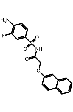 Nc1ccc(S(=O)(=O)NC(=O)COc2ccc3ccccc3c2)cc1F